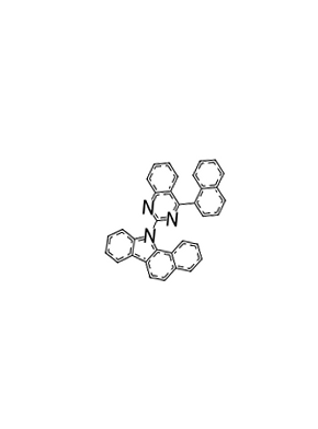 c1ccc2c(-c3nc(-n4c5ccccc5c5ccc6ccccc6c54)nc4ccccc34)cccc2c1